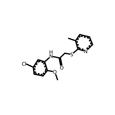 COc1ccc(Cl)cc1NC(=O)CSc1ncccc1C